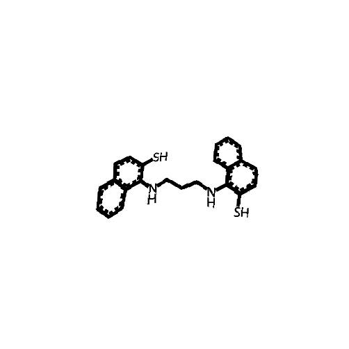 Sc1ccc2ccccc2c1NCCCNc1c(S)ccc2ccccc12